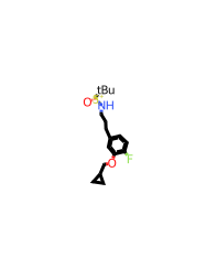 CC(C)(C)[S+]([O-])NCCCc1ccc(F)c(OCC2CC2)c1